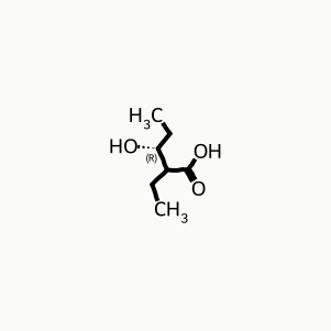 CCC(C(=O)O)[C@H](O)CC